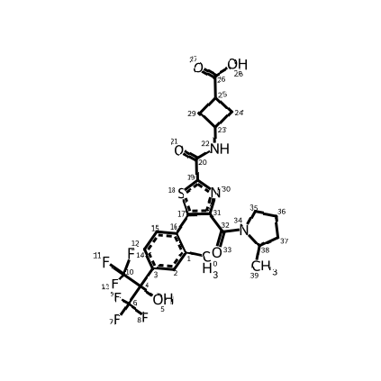 Cc1cc(C(O)(C(F)(F)F)C(F)(F)F)ccc1-c1sc(C(=O)NC2CC(C(=O)O)C2)nc1C(=O)N1CCCC1C